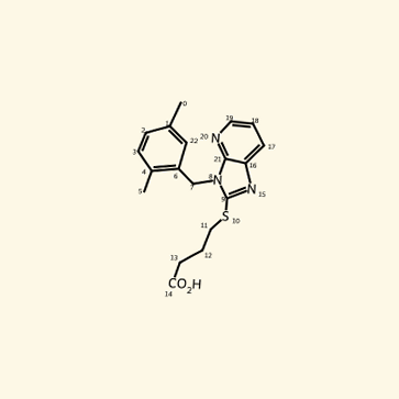 Cc1ccc(C)c(Cn2c(SCCCC(=O)O)nc3cccnc32)c1